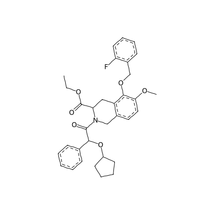 CCOC(=O)C1Cc2c(ccc(OC)c2OCc2ccccc2F)CN1C(=O)C(OC1CCCC1)c1ccccc1